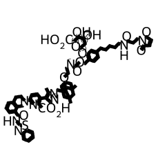 Cc1c(-c2ccc(N3CCc4cccc(C(=O)Nc5nc6ccccc6s5)c4C3)nc2C(=O)O)cnn1CC12CC3(C)CC(C)(C1)CC(OCCN(C)C(=O)OCc1ccc(CCCCCNC(=O)CCN4C(=O)C=CC4=O)cc1O[C@H]1C[C@@H](O)[C@H](O)[C@@H](C(=O)O)O1)(C3)C2